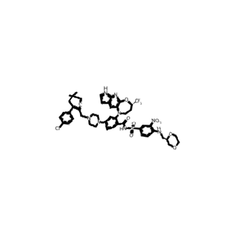 CC1(C)CCC(CN2CCN(c3ccc(C(=O)NS(=O)(=O)c4ccc(NC[C@@H]5COCCO5)c([N+](=O)[O-])c4)c(N4CC[C@@H](C(F)(F)F)Oc5nc6[nH]ccc6cc54)c3)CC2)=C(c2ccc(Cl)cc2)C1